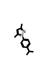 Cc1cc(C)n(-c2ccc(C(C)C)cc2)n1